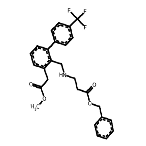 COC(=O)Cc1cccc(-c2ccc(C(F)(F)F)cc2)c1CNCCC(=O)OCc1ccccc1